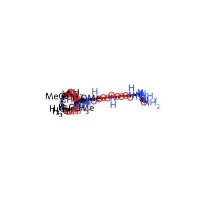 CO/N=C1/C[C@@H]([C@H](N)C[C@@H]2CC[C@H](n3cc(CCCC(=O)NCCOCCOCCOCCC(=O)NCCOCCOCCOCCC(=O)NCCCCn4nc(-c5ccc6oc(N)nc6c5)c5c(N)ncnc54)nn3)[C@H](OC)C2)OC(=O)[C@@H]2CCCCN2C(=O)C(=O)[C@]2(O)O[C@@H](CC[C@H]2C)C[C@H](OC)/C(C)=C/C=C/C=C/[C@@H](C)C[C@@H](C)C(=O)[C@H](O)[C@H](O)/C(C)=C/[C@H]1C